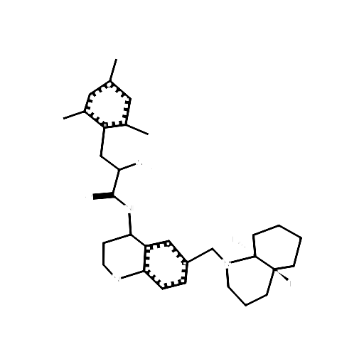 Cc1cc(C)c(CC(N)C(=O)NC2CCNc3ccc(CN4CCC[C@H]5CCCC[C@@H]54)cc32)c(C)c1